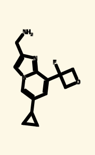 NCc1cn2cc(C3CC3)cc(C3(F)COC3)c2n1